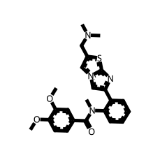 COc1ccc(C(=O)N(C)c2ccccc2-c2cn3cc(CN(C)C)sc3n2)cc1OC